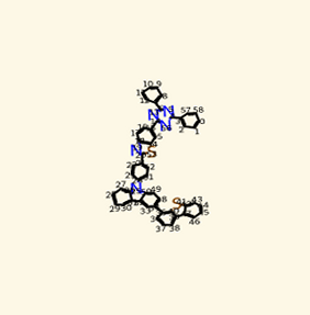 c1ccc(-c2nc(-c3ccccc3)nc(-c3ccc4nc(-c5ccc(-n6c7ccccc7c7cc(-c8cccc9c8sc8ccccc89)ccc76)cc5)sc4c3)n2)cc1